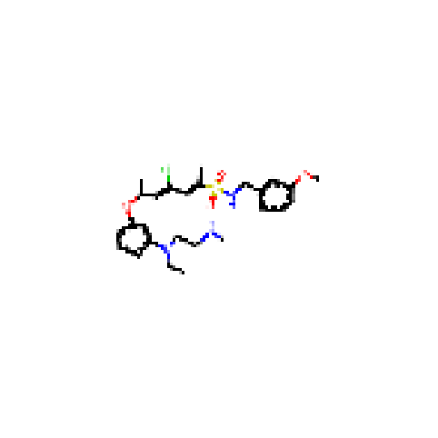 CCN(CCNC)c1cccc(OC(C)/C=C(Cl)/C=C(\C)S(=O)(=O)NCc2cccc(OC)c2)c1